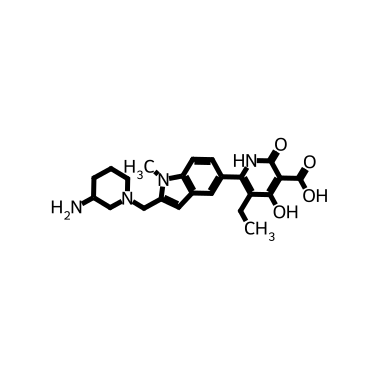 CCc1c(-c2ccc3c(c2)cc(CN2CCCC(N)C2)n3C)[nH]c(=O)c(C(=O)O)c1O